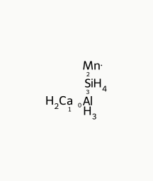 [AlH3].[CaH2].[Mn].[SiH4]